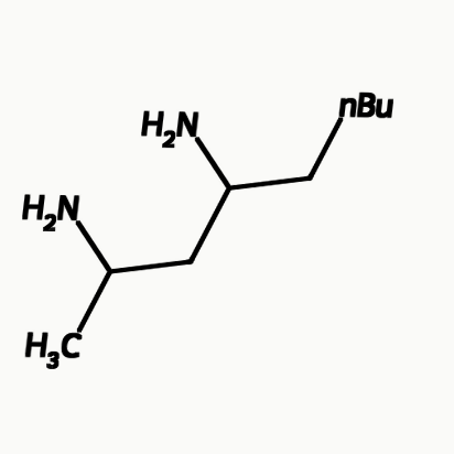 CCCCCC(N)CC(C)N